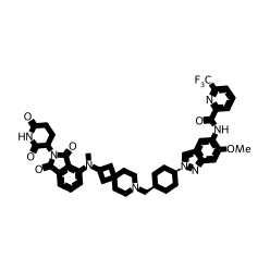 COc1cc2nn([C@H]3CC[C@H](CN4CCC5(CC4)CC(N(C)c4cccc6c4C(=O)N(C4CCC(=O)NC4=O)C6=O)C5)CC3)cc2cc1NC(=O)c1cccc(C(F)(F)F)n1